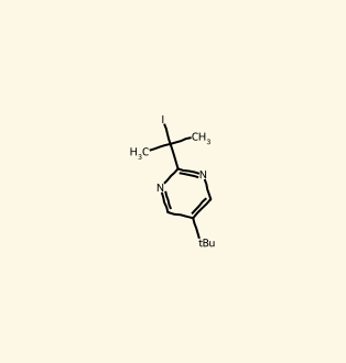 CC(C)(C)c1cnc(C(C)(C)I)nc1